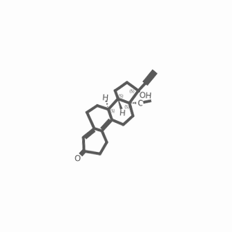 C#C[C@]1(O)CC[C@H]2[C@@H]3CCC4=CC(=O)CCC4=C3CC[C@@]21CC